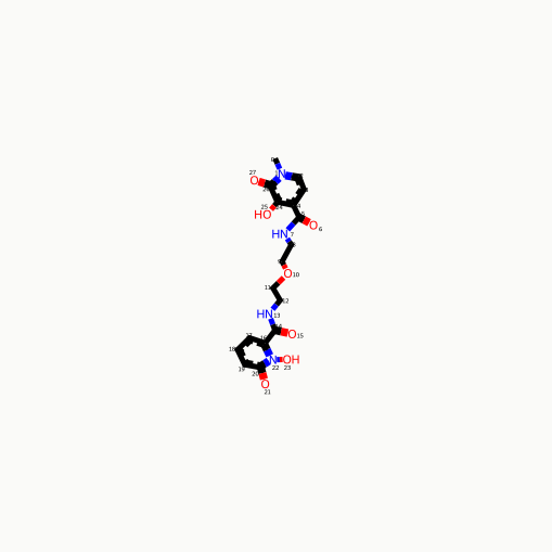 Cn1ccc(C(=O)NCCOCCNC(=O)c2cccc(=O)n2O)c(O)c1=O